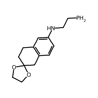 PCCNc1ccc2c(c1)CCC1(C2)OCCO1